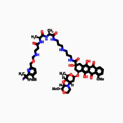 CCCCCC(C)(I)c1nc(COCNCCC(=O)N[C@@H](C)C(=O)N[C@@H](C)C(=O)NCCCNCCCNC(=O)[C@]2(O)Cc3c(O)c4c(c(O)c3[C@@H](O[C@H]3C[C@H]5[C@H](O[C@@H]6[C@@H](OC)OCCN65)[C@H](C)O3)C2)C(=O)c2c(OC)cccc2C4=O)ccc1C#N